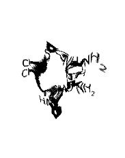 CN1C(=O)[C@H](CCCN)NC(=O)[C@H](CCCN)NCc2ccccc2SC=C(Cl)C=C(Cl)C=CCNC(=O)[C@@H]1Cc1c[nH]c2ccccc12